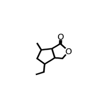 CCC1CC(C)C2C(=O)OCC12